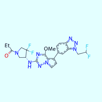 CCC(=O)N1C[C@@H](Nc2nc(OC)c3c(-c4ccc5nnn(CC(F)F)c5c4)ccn3n2)C(F)(F)C1